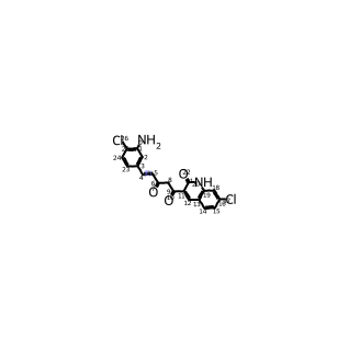 Nc1cc(/C=C/C(=O)CC(=O)c2cc3ccc(Cl)cc3[nH]c2=O)ccc1Cl